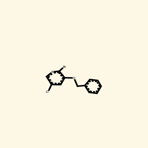 Clc1cnc(Br)c(OCc2ccccc2)c1